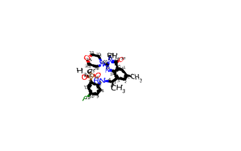 Cc1cc([C@@H](C)Nc2ccc(F)cc2S(C)(=O)=O)c2nc(N3CCOCC3)n(C)c(=O)c2c1